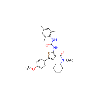 CC(=O)ON(C(=O)c1cc(-c2ccc(OC(F)(F)F)cc2)sc1NC(=O)Nc1c(C)cc(C)cc1C)C1CCCCC1